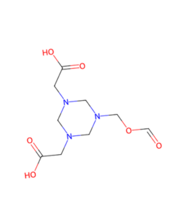 O=COCN1CN(CC(=O)O)CN(CC(=O)O)C1